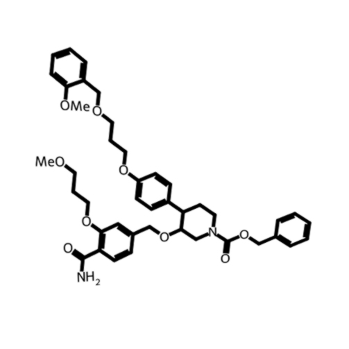 COCCCOc1cc(COC2CN(C(=O)OCc3ccccc3)CCC2c2ccc(OCCCOCc3ccccc3OC)cc2)ccc1C(N)=O